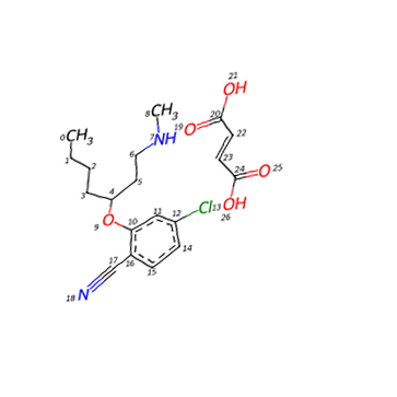 CCCCC(CCNC)Oc1cc(Cl)ccc1C#N.O=C(O)/C=C/C(=O)O